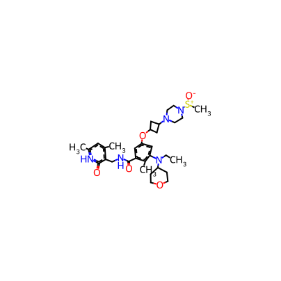 CCN(c1cc(OC2CC(N3CCN([S+](C)[O-])CC3)C2)cc(C(=O)NCc2c(C)cc(C)[nH]c2=O)c1C)C1CCOCC1